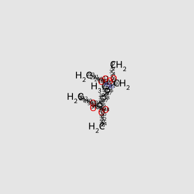 C=CCCCCOC(=O)C(=C)/C=C(\C=C(/C)C(=O)OCCCCC=C)c1ccc(C2=CCC(c3cc(C(=O)OCCCCC=C)cc(C(=O)OCCCCC=C)c3)C=C2)cc1